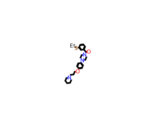 CCSc1cccc(C(=O)N2CCN(c3ccc(OCCCN4CCCCC4)cc3)CC2)c1